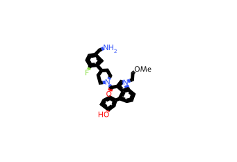 COCCn1cc(C(=O)N2CCC(c3cc(CN)ccc3F)CC2)c2c(-c3cccc(O)c3)cccc21